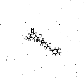 O=C(COc1ccc(Cl)c(F)c1)NC12CC(NC(=O)C3CNCC(CO)C3)(C1)C2